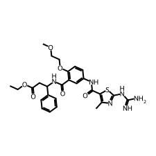 CCOC(=O)CC(NC(=O)c1cc(NC(=O)c2sc(NC(=N)N)nc2C)ccc1OCCOC)c1ccccc1